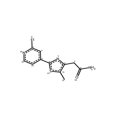 CCc1cc(-c2nc(CC(N)=O)c(C)s2)ccn1